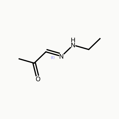 CCN/N=C/C(C)=O